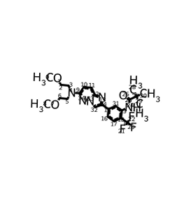 COCCN(CCOC)c1ccc2nc(-c3ccc(C(F)(F)F)c(NC(=O)C(C)(C)C)c3)cn2n1